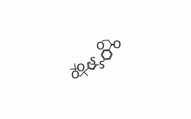 CC1(C)OCC(C)(c2csc(Sc3ccc4c(c3)OCCC4=O)c2)O1